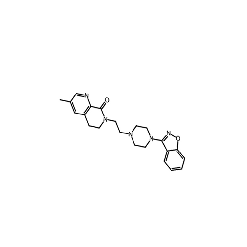 Cc1cnc2c(c1)CCN(CCN1CCN(c3noc4ccccc34)CC1)C2=O